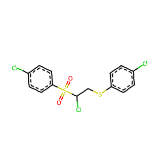 O=S(=O)(c1ccc(Cl)cc1)C(Cl)CSc1ccc(Cl)cc1